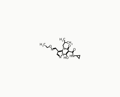 CCO/N=C/c1cnn2c(O)c(C(=O)NC3CC3)c(=O)n(CC(C)C)c12